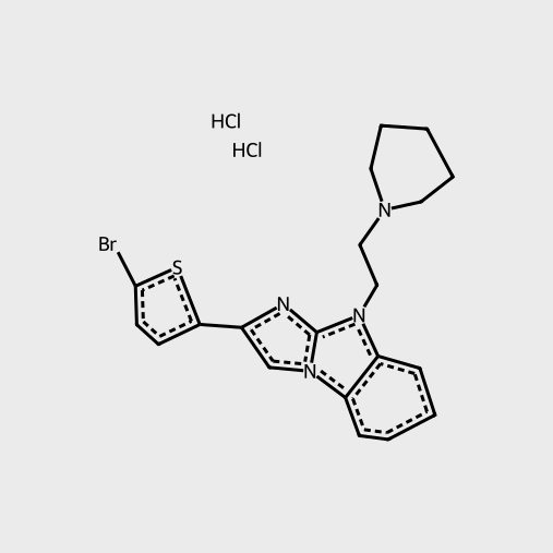 Brc1ccc(-c2cn3c4ccccc4n(CCN4CCCCC4)c3n2)s1.Cl.Cl